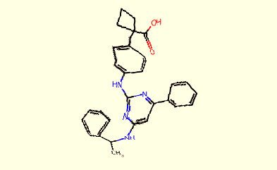 CC(Nc1cc(-c2ccccc2)nc(Nc2ccc(C3(C(=O)O)CCC3)cc2)n1)c1ccccc1